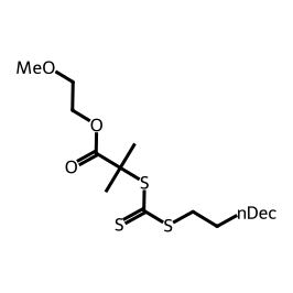 CCCCCCCCCCCCSC(=S)SC(C)(C)C(=O)OCCOC